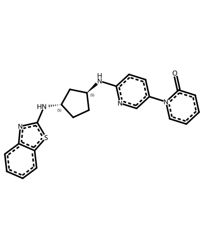 O=c1ccccn1-c1ccc(N[C@H]2CC[C@H](Nc3nc4ccccc4s3)C2)nc1